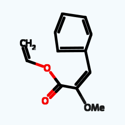 C=COC(=O)C(=Cc1ccccc1)OC